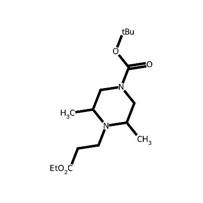 CCOC(=O)CCN1C(C)CN(C(=O)OC(C)(C)C)CC1C